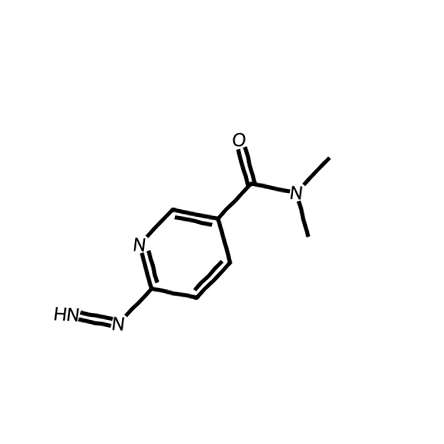 CN(C)C(=O)c1ccc(N=N)nc1